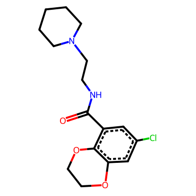 O=C(NCCN1CCCCC1)c1cc(Cl)cc2c1OCCO2